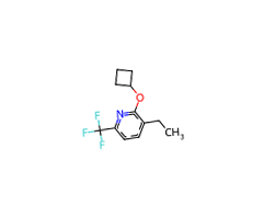 CCc1ccc(C(F)(F)F)nc1OC1CCC1